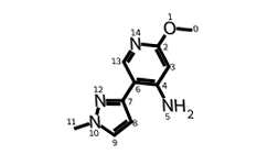 COc1cc(N)c(-c2ccn(C)n2)cn1